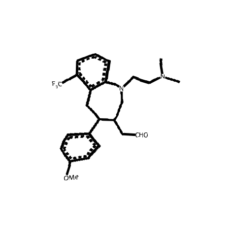 COc1ccc(C2Cc3c(cccc3C(F)(F)F)N(CCN(C)C)CC2CC=O)cc1